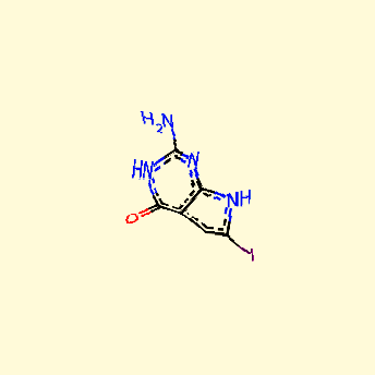 Nc1nc2[nH]c(I)cc2c(=O)[nH]1